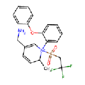 CC1C=CC(CN)=C[N+]1(c1ccccc1Oc1ccccc1)S(=O)(=O)CC(F)(F)F